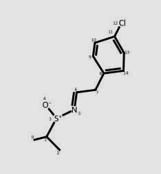 CC(C)[S+]([O-])/N=C/Cc1ccc(Cl)cc1